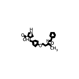 Cc1oc(-c2ccccc2)nc1CCOc1ccc(C[C@@H]2CNC[C@@H]2C(=O)O)cc1